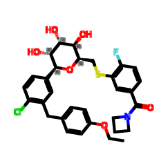 CCOc1ccc(Cc2cc([C@@H]3O[C@H](CSc4cc(C(=O)N5CCC5)ccc4F)[C@H](O)[C@@H](O)[C@H]3O)ccc2Cl)cc1